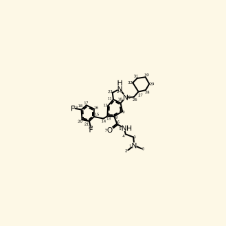 CN(C)CCNC(=O)c1cc2c(cc1Cc1ccc(F)cc1F)CNN2CC1CCCCC1